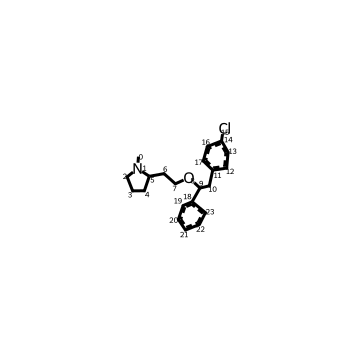 CN1CCCC1CCOC(Cc1ccc(Cl)cc1)c1ccccc1